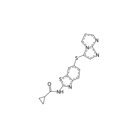 O=C(Nc1nc2ccc(Sc3cnc4ncccn34)cc2s1)C1CC1